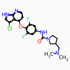 CN(C)CC1CCN(C(=O)Nc2cc(F)c(Oc3ccnc4[nH]cc(Cl)c34)c(F)c2)C1